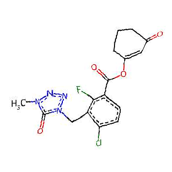 Cn1nnn(Cc2c(Cl)ccc(C(=O)OC3=CC(=O)CCC3)c2F)c1=O